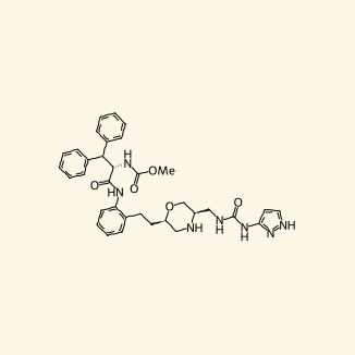 COC(=O)N[C@H](C(=O)Nc1ccccc1CC[C@@H]1CN[C@H](CNC(=O)Nc2cc[nH]n2)CO1)C(c1ccccc1)c1ccccc1